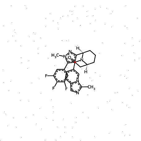 Cc1ncc2ccc(C(=O)N3[C@H]4CCC[C@@H]3c3nn(C)c(-c5cc(F)c(F)c(F)c5)c3C4)cn12